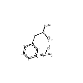 CCCCCl.CN[C@@H](C)Cc1ccccc1.Cl